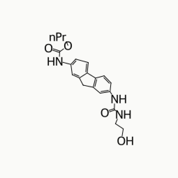 CCCOC(=O)Nc1ccc2c(c1)Cc1cc(NC(=O)NCCO)ccc1-2